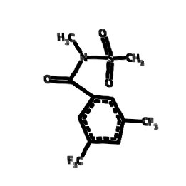 CN(C(=O)c1cc(C(F)(F)F)cc(C(F)(F)F)c1)S(C)(=O)=O